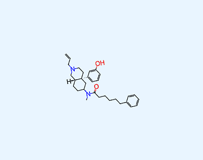 C=CCN1CC[C@@]2(c3cccc(O)c3)C[C@@H](N(C)C(=O)CCCCCc3ccccc3)CC[C@@H]2C1